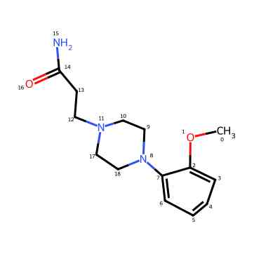 COc1ccccc1N1CCN(CCC(N)=O)CC1